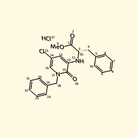 COC(=O)[C@H](Cc1ccccc1)Nc1cc(Cl)cn(Cc2ccccc2)c1=O.Cl